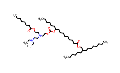 CCCCCCCCC(CCCCCC)COC(=O)CCCCCCCCC(CCCCCC)OC(=O)OCCN(CCOC(=O)CCCCCCC)CCN(CC)CC